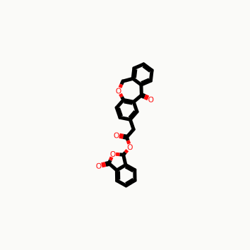 O=C(Cc1ccc2c(c1)C(=O)c1ccccc1CO2)OC1OC(=O)c2ccccc21